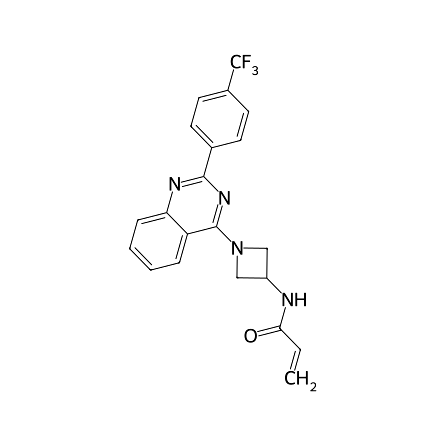 C=CC(=O)NC1CN(c2nc(-c3ccc(C(F)(F)F)cc3)nc3ccccc23)C1